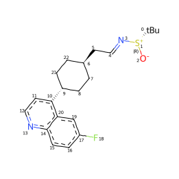 CC(C)(C)[S@+]([O-])N=CC[C@H]1CC[C@H](c2ccnc3ccc(F)cc32)CC1